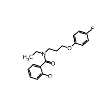 CCN(CCCOc1ccc(F)cc1)C(=O)c1ccccc1Cl